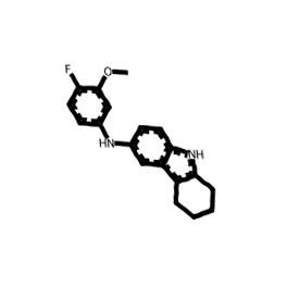 COc1cc(Nc2ccc3[nH]c4c(c3c2)CCCC4)ccc1F